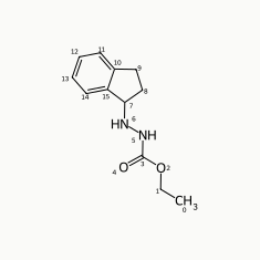 CCOC(=O)NNC1CCc2ccccc21